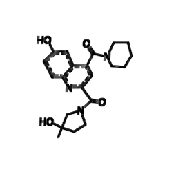 CC1(O)CCN(C(=O)c2cc(C(=O)N3CCCCC3)c3cc(O)ccc3n2)C1